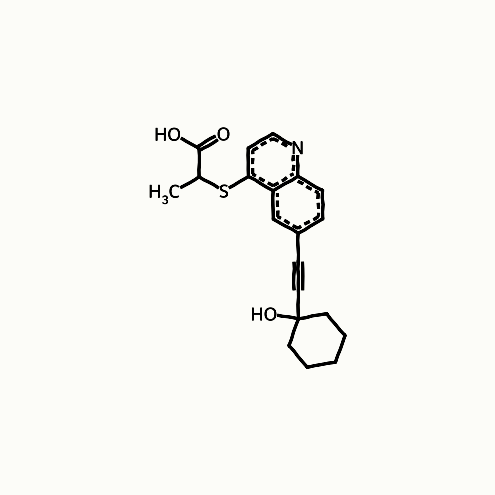 CC(Sc1ccnc2ccc(C#CC3(O)CCCCC3)cc12)C(=O)O